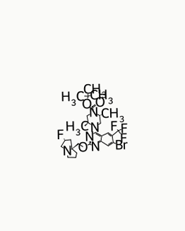 C[C@@H]1CN(c2nc(OC[C@@]34CCCN3C[C@H](F)C4)nc3cc(Br)c(C(F)(F)F)cc23)[C@@H](C)CN1C(=O)OC(C)(C)C